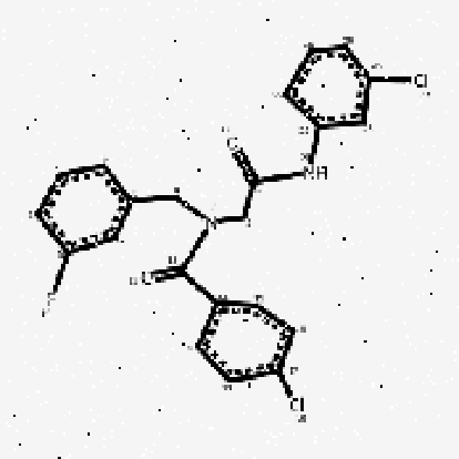 O=C(CN(Cc1cccc(F)c1)C(=O)c1ccc(Cl)cc1)Nc1cccc(Cl)c1